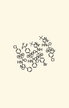 CC(C)(C(=O)Nc1cc(-c2ccccc2)on1)S(=O)(=O)c1ccc(Cl)cc1.CC(C)(C(=O)Nc1ccccc1Cl)S(=O)(=O)c1ccc(C(F)(F)F)cc1.Cn1nc(C(C)(C)C)cc1NC(=O)C(C)(C)S(=O)(=O)c1ccc(Br)cc1.Cn1nc(C(C)(C)C)cc1NC(=O)C(C)(C)S(=O)(=O)c1ccc(Cl)cc1F